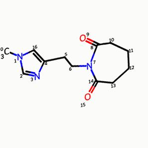 Cn1cnc(CCN2C(=O)CCCCC2=O)c1